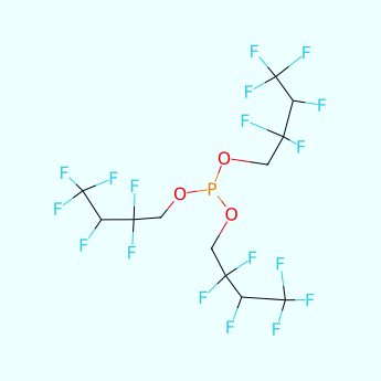 FC(C(F)(F)F)C(F)(F)COP(OCC(F)(F)C(F)C(F)(F)F)OCC(F)(F)C(F)C(F)(F)F